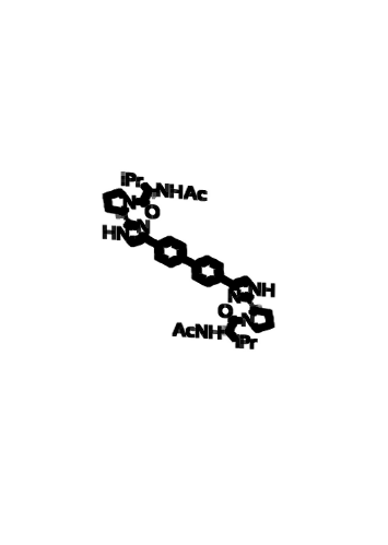 CC(=O)N[C@H](C(=O)N1CCC[C@H]1c1nc(-c2ccc(-c3ccc(-c4c[nH]c([C@@H]5CCCN5C(=O)[C@@H](NC(C)=O)C(C)C)n4)cc3)cc2)c[nH]1)C(C)C